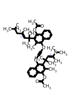 CC(=O)Oc1c(C)c(C(C)(C)/C=C(\C)N(C)C)c(OC#COc2c(C)c(C(C)(C)/C=C(\C)CC(C)C)c(OC(C)=O)c3ccccc23)c2ccccc12